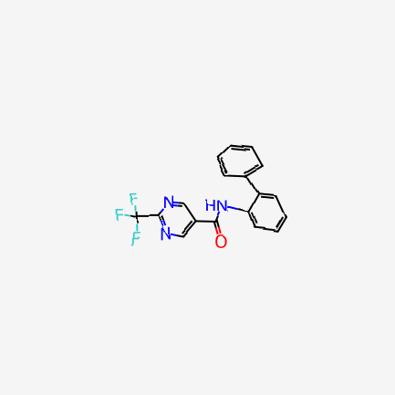 O=C(Nc1ccccc1-c1ccccc1)c1cnc(C(F)(F)F)nc1